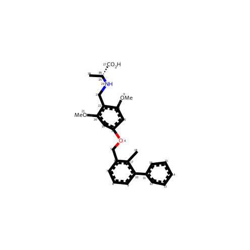 COc1cc(OCc2cccc(-c3ccccc3)c2C)cc(OC)c1CN[C@H](C)C(=O)O